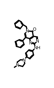 CN1CCN(c2ccc(Nc3ncc4c(=O)n(Cc5ccccc5)cc(-c5ccccc5)c4n3)cc2)CC1